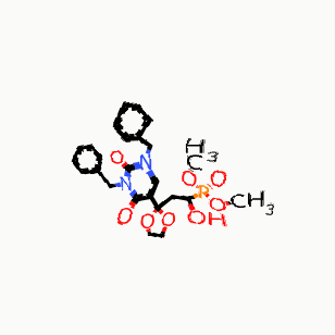 COP(=O)(OC)C(O)CC1(c2cn(Cc3ccccc3)c(=O)n(Cc3ccccc3)c2=O)OCCO1